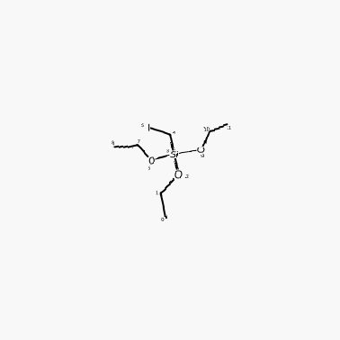 CCO[Si](CI)(OCC)OCC